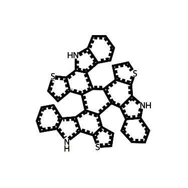 c1ccc2c(c1)[nH]c1c3sccc3c3c(c21)c1c2ccsc2c2[nH]c4ccccc4c2c1c1c2ccsc2c2[nH]c4ccccc4c2c31